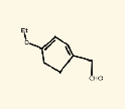 CCOC1=CC=C(CC=O)CC1